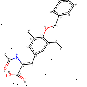 CCc1cc(C=C(NC(C)=O)C(=O)O)cc(C)c1OCc1ccccc1